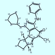 CN1C(=O)c2c(Nc3ccccc3)nn(CC3CCCCC3)c2N2C1=N[C@@H]1CCC[C@@H]12